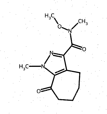 CON(C)C(=O)c1nn(C)c2c1CCCCC2=O